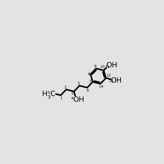 CCCC(O)CCc1ccc(O)c(O)c1